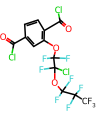 O=C(Cl)c1ccc(C(=O)Cl)c(OC(F)(F)C(F)(Cl)OC(F)(F)C(F)(F)C(F)(F)F)c1